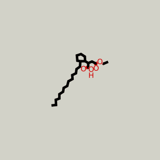 CCCCCCCCCCCCCCC1CCCCC1C(CC(=O)OCC)C(=O)O